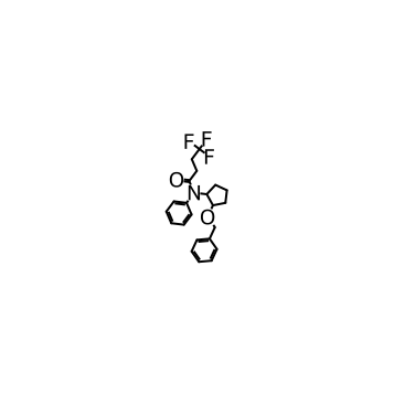 O=C(CCC(F)(F)F)N(c1ccccc1)C1CCCC1OCc1ccccc1